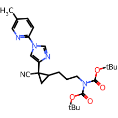 Cc1ccc(-n2cnc(C3(C#N)CC3CCCN(C(=O)OC(C)(C)C)C(=O)OC(C)(C)C)c2)nc1